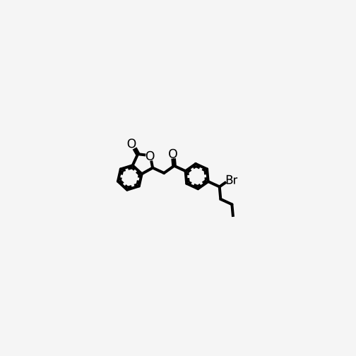 CCCC(Br)c1ccc(C(=O)CC2OC(=O)c3ccccc32)cc1